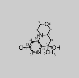 CC1(O)CC2COCCN2c2cc(Cl)cnc21